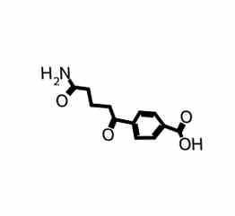 NC(=O)CCCC(=O)c1ccc(C(=O)O)cc1